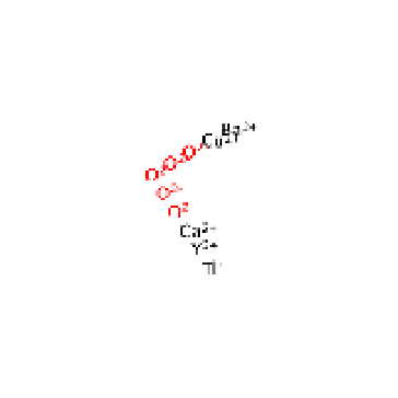 [Ba+2].[Ca+2].[Cu+2].[O-2].[O-2].[O-2].[O-2].[O-2].[Tl+].[Y+3]